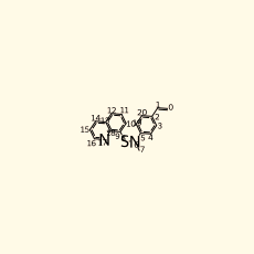 C=Cc1ccc(N(C)Sc2cccc3cccnc23)cc1